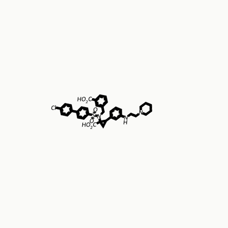 O=C(O)c1cccc(CN(C2(C(=O)O)CC2c2cccc(NCCN3CCCCC3)c2)S(=O)(=O)c2ccc(-c3ccc(Cl)cc3)cc2)c1